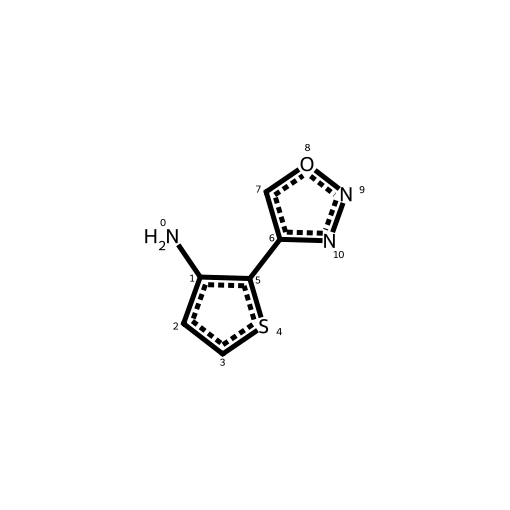 Nc1ccsc1-c1conn1